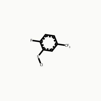 Fc1ccc(C(F)(F)F)cc1SCl